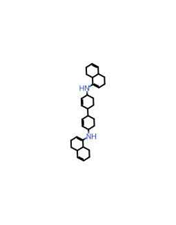 C1=CC2CCC=C(NC3C=CC(C4C=CC(NC5=CCCC6C=CCCC56)CC4)CC3)C2CC1